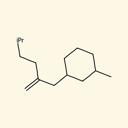 C=C(CCC(C)C)CC1CCCC(C)C1